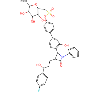 COC1OC(CS(=O)(=O)Oc2ccc(-c3ccc(C4C(CCC(O)c5ccc(F)cc5)C(=O)N4c4ccccc4)c(O)c3)cc2)C(O)C(O)C1O